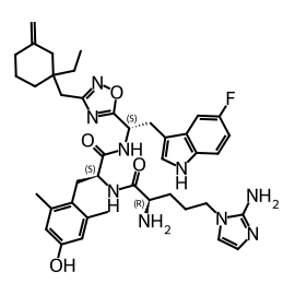 C=C1CCCC(CC)(Cc2noc([C@H](Cc3c[nH]c4ccc(F)cc34)NC(=O)[C@H](Cc3c(C)cc(O)cc3C)NC(=O)[C@H](N)CCCn3ccnc3N)n2)C1